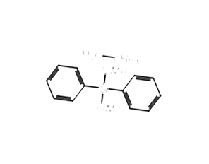 CCCCCCC.CO[Si](OC)(c1ccccc1)c1ccccc1